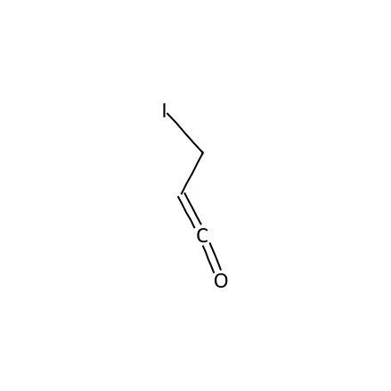 O=C=CCI